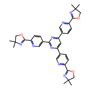 CC1(C)COC(c2ccc(-c3cc(-c4ccc(C5=NC(C)(C)CO5)nc4)nc(-c4ccc(C5=NC(C)(C)CO5)nc4)n3)cn2)=N1